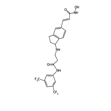 O=C(/C=C/c1ccc2c(c1)CCC2NCCC(=O)Nc1cc(C(F)(F)F)cc(C(F)(F)F)c1)NO